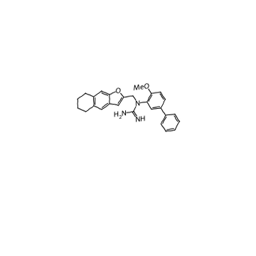 COc1ccc(-c2ccccc2)cc1N(Cc1cc2cc3c(cc2o1)CCCC3)C(=N)N